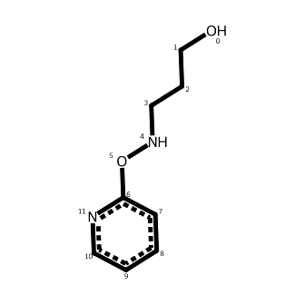 OCCCNOc1ccccn1